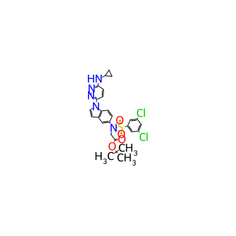 CC(C)(C)OC(=O)CN(c1ccc2c(ccn2-c2ccc(NC3CC3)nn2)c1)S(=O)(=O)c1cc(Cl)cc(Cl)c1